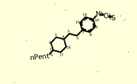 CCCCCC1CCC(CCc2ccc(N=C=S)cc2)CC1